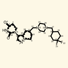 O=c1ccn(-c2cnn3ccc(CN4CCN(CC5CCC(F)(F)CC5)CC4)cc23)c(=O)[nH]1